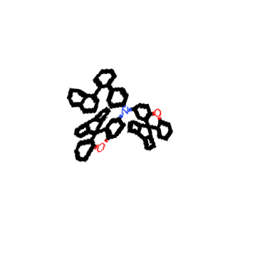 c1ccc2c(c1)Oc1ccc(N(c3ccc(-c4ccccc4-c4cccc5ccccc45)cc3)c3ccc4c(c3)C3(c5ccccc5O4)c4ccccc4-c4ccccc43)cc1C21c2ccccc2-c2ccccc21